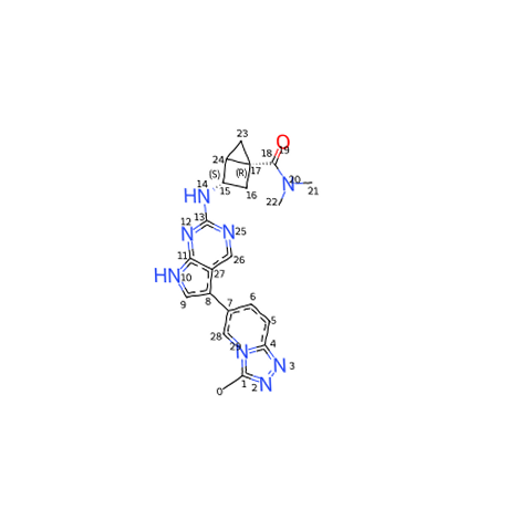 Cc1nnc2ccc(-c3c[nH]c4nc(N[C@H]5C[C@]6(C(=O)N(C)C)CC56)ncc34)cn12